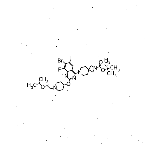 CC(C)OCCN1CCC(Oc2nc(N3CCC4(CC3)CN(C(=O)OC(C)(C)C)C4)c3cc(I)c(Br)c(F)c3n2)CC1